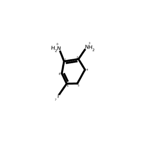 NC1=C(N)CCC(I)=C1